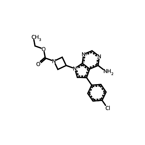 CCOC(=O)N1CC(n2cc(-c3ccc(Cl)cc3)c3c(N)ncnc32)C1